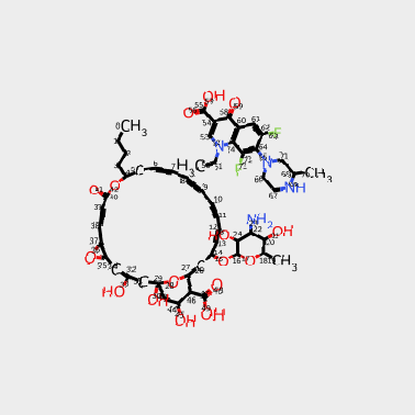 CCCCC1CC=CC=CC=CC=CC(OC2OC(C)C(O)C(N)C2O)CC2OC(O)(CC(O)CC3OC3C=CC(=O)O1)CC(O)C2C(=O)O.CCn1cc(C(=O)O)c(=O)c2cc(F)c(N3CCNC(C)C3)c(F)c21